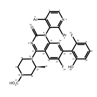 CC(=O)c1ccnc(C(C)C)c1-n1c(=O)nc(N2CCN(C(=O)O)C[C@@H]2C)c2cc(F)c(-c3c(O)cccc3F)nc21